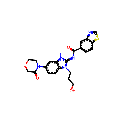 O=C(/N=c1\[nH]c2cc(N3CCOCC3=O)ccc2n1CCCO)c1ccc2scnc2c1